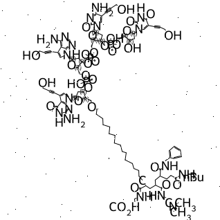 CCCCNC(=O)CCC(CC(CC(CCCCCCCCCCCCCCCCCOC[C@H]1O[C@@H](n2cc(C#CCO)c3c(=O)[nH]c(N)nc32)C[C@H]1OP(=O)(O)OC[C@H]1O[C@@H](n2cc(C#CCO)c3c(N)ncnc32)C[C@H]1OP(=O)(O)OC[C@H]1O[C@@H](n2cc(C#CCO)c(N)nc2=O)C[C@H]1OP(=O)(O)OC[C@H]1O[C@@H](n2cc(C#CCO)c(=O)[nH]c2=O)C[C@H]1O)C(=O)NCC(=O)O)C(=O)NCCN(C)C)C(=O)NCc1ccccc1